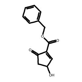 O=C1CC(O)C=C1C(=O)OCc1ccccc1